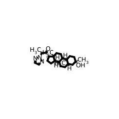 C[C@H](C(=O)[C@H]1CC[C@H]2[C@@H]3CC[C@H]4C[C@](C)(O)CC[C@]4(C)[C@H]3CC[C@]12C)n1nccn1